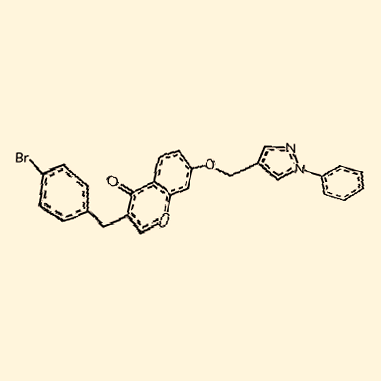 O=c1c(Cc2ccc(Br)cc2)coc2cc(OCc3cnn(-c4ccccc4)c3)ccc12